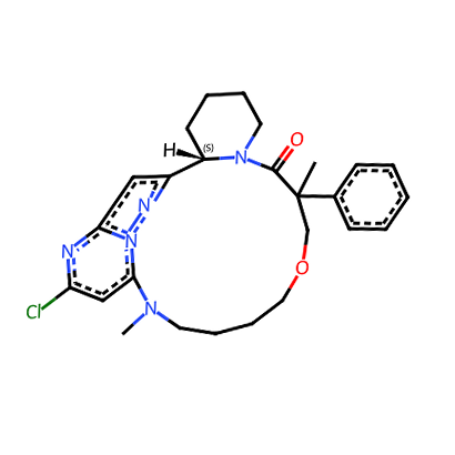 CN1CCCCOCC(C)(c2ccccc2)C(=O)N2CCCC[C@H]2c2cc3nc(Cl)cc1n3n2